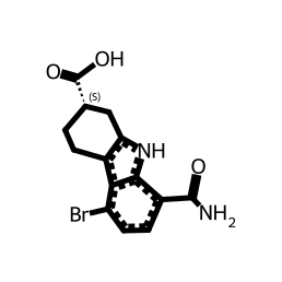 NC(=O)c1ccc(Br)c2c3c([nH]c12)C[C@@H](C(=O)O)CC3